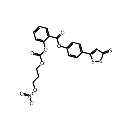 O=C(OCCCO[N+](=O)[O-])Oc1ccccc1C(=O)Oc1ccc(-c2cc(=S)ss2)cc1